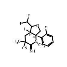 CN1C(=N)C(C)(C#N)C[C@@H]2C(C(F)F)OC[C@@]21c1ccccc1F